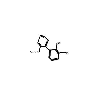 Oc1c(Cl)cccc1-c1ccccc1CBr